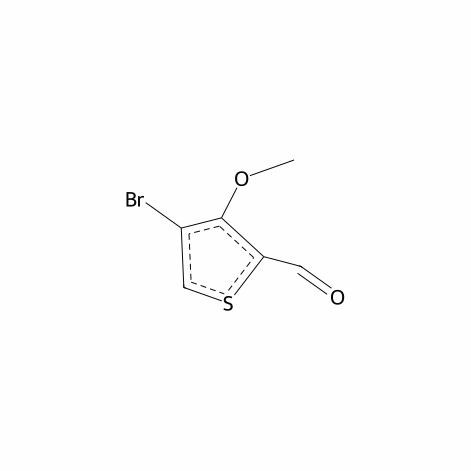 COc1c(Br)csc1C=O